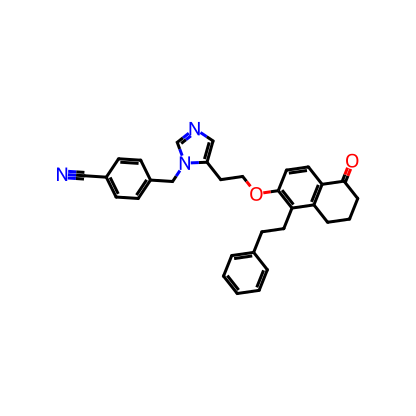 N#Cc1ccc(Cn2cncc2CCOc2ccc3c(c2CCc2ccccc2)CCCC3=O)cc1